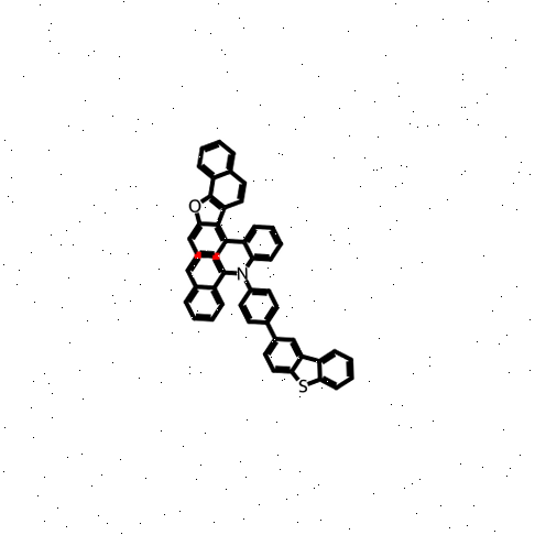 c1ccc(N(c2ccc(-c3ccc4sc5ccccc5c4c3)cc2)c2cccc3ccccc23)c(-c2cccc3oc4c5ccccc5ccc4c23)c1